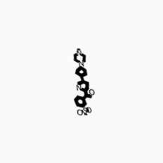 CN1CCN(c2ccc(-c3cnc4c(-c5cccc(S(C)(=O)=O)c5)coc4c3)cc2)CC1